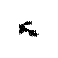 C[N+](C)(C)CCCC(NC(=O)CCCC1CCN(c2cc(N3CCC[C@H]3C(=O)NCCc3ccc(C#N)cc3)nc(C(F)(F)F)n2)CC1)C(=O)O